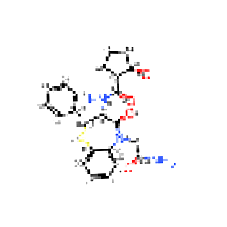 NC(=O)CN1C(=O)[C@@H](NC(=O)C2CCCC2=O)[C@@H](c2ccccc2)Sc2ccccc21